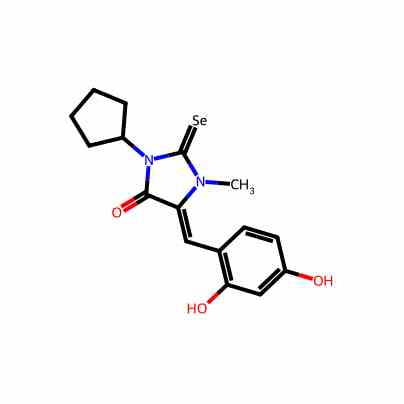 CN1C(=[Se])N(C2CCCC2)C(=O)C1=Cc1ccc(O)cc1O